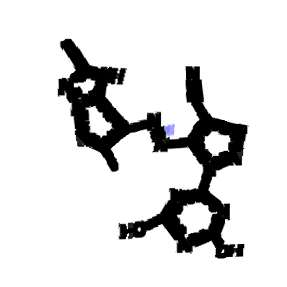 Cc1nn2nc(C)c(/N=N/c3c(C#N)cnn3-c3nc(O)nc(O)n3)c2[nH]1